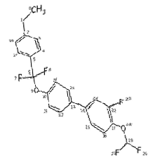 CCc1ccc(C(F)(F)Oc2ccc(-c3ccc(OC(F)F)c(F)c3)cc2)cc1